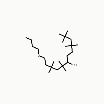 CCCCOCCC(C)(C)CC(C)(C)C(O)CCC(C)(C)CC(C)(C)C